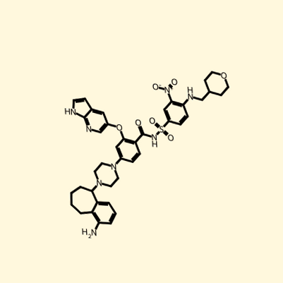 Nc1cccc2c1CCCCC2N1CCN(c2ccc(C(=O)NS(=O)(=O)c3ccc(NCC4CCOCC4)c([N+](=O)[O-])c3)c(Oc3cnc4[nH]ccc4c3)c2)CC1